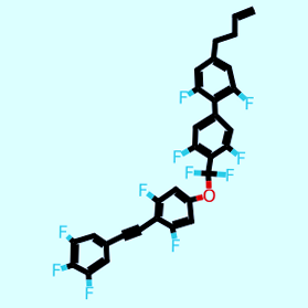 C=CCCc1cc(F)c(-c2cc(F)c(C(F)(F)Oc3cc(F)c(C#Cc4cc(F)c(F)c(F)c4)c(F)c3)c(F)c2)c(F)c1